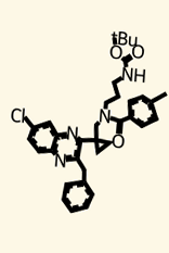 Cc1ccc(C(=O)N(CCCNC(=O)OC(C)(C)C)CC2(c3nc4cc(Cl)ccc4nc3Cc3ccccc3)CC2)cc1